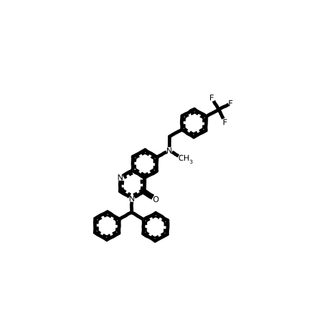 CN(Cc1ccc(C(F)(F)F)cc1)c1ccc2ncn(C(c3ccccc3)c3ccccc3)c(=O)c2c1